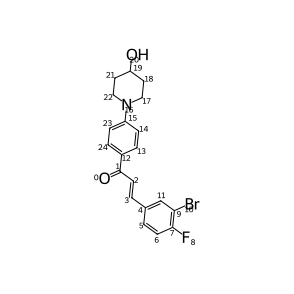 O=C(/C=C/c1ccc(F)c(Br)c1)c1ccc(N2CCC(O)CC2)cc1